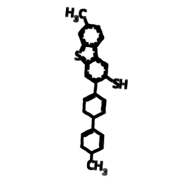 Cc1ccc2c(c1)sc1cc(C3=CCC(C4=CCC(C)C=C4)C=C3)c(S)cc12